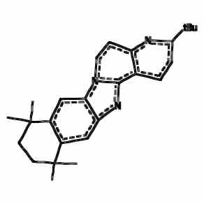 CC(C)(C)c1ccc2c(ccn3c4cc5c(cc4nc23)C(C)(C)CCC5(C)C)n1